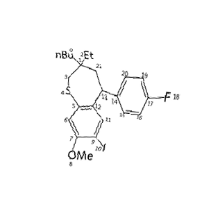 CCCCC1(CC)CSc2cc(OC)c(I)cc2C(c2ccc(F)cc2)C1